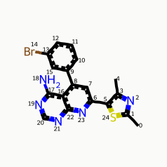 Cc1nc(C)c(-c2cc(-c3cccc(Br)c3)c3c(N)ncnc3n2)s1